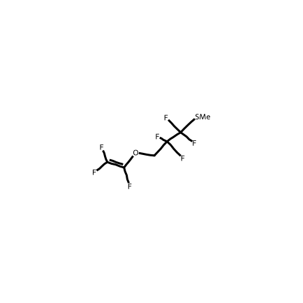 CSC(F)(F)C(F)(F)COC(F)=C(F)F